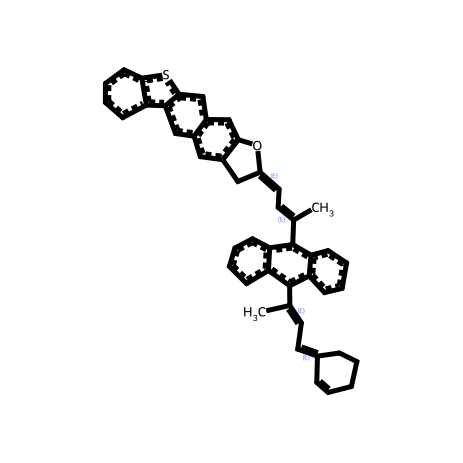 C/C(=C\C=C1\C=CCCC1)c1c2ccccc2c(/C(C)=C/C=C2\Cc3cc4cc5c(cc4cc3O2)sc2ccccc25)c2ccccc12